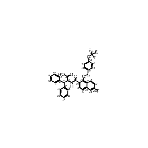 O=C(NC(C(=O)O)C(c1ccccc1)c1ccccc1)c1ccc2cc(F)ccc2c1OCc1ccc(OC(F)(F)F)cc1